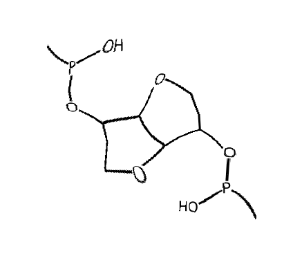 CP(O)OC1COC2C(OP(C)O)COC12